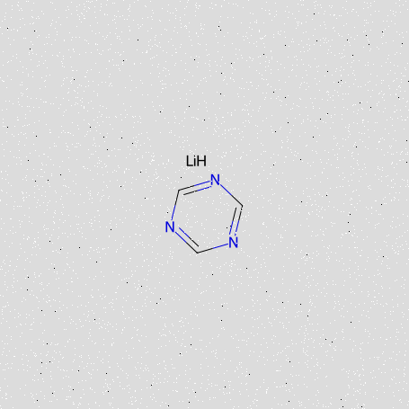 [LiH].c1ncncn1